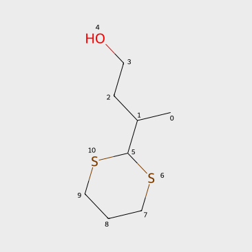 CC(CCO)C1SCCCS1